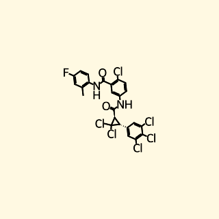 Cc1cc(F)ccc1NC(=O)c1cc(NC(=O)[C@H]2[C@H](c3cc(Cl)c(Cl)c(Cl)c3)C2(Cl)Cl)ccc1Cl